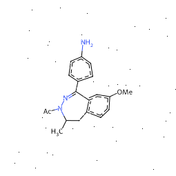 COc1ccc2c(c1)C(c1ccc(N)cc1)=NN(C(C)=O)C(C)C2